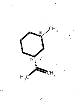 C=C(C)[C@@H]1CCC[C@H](C)C1